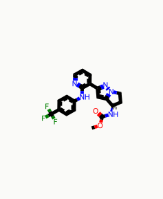 COC(=O)N[C@@H]1CCn2nc(-c3cccnc3Nc3ccc(C(F)(F)F)cc3)cc21